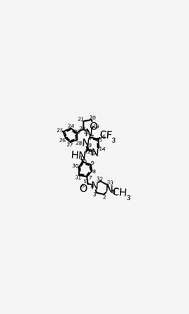 CN1CCN(C(=O)c2ccc(Nc3ncc(C(F)(F)F)c(N4OCCC4c4ccccc4)n3)cc2)CC1